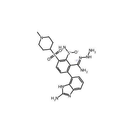 CN1CCC(S(=O)(=O)c2ccc(-c3cccc4nc(N)[nH]c34)c(/C(N)=N/NN)c2[S+](N)[O-])CC1